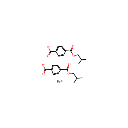 CC(C)COC(=O)c1ccc(C(=O)[O-])cc1.CC(C)COC(=O)c1ccc(C(=O)[O-])cc1.[Ba+2]